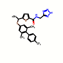 CCCCC(Sc1cc(C)c(-c2ccc(C(F)(F)F)cc2)c(C)c1)c1ccc(C(=O)NCc2nn[nH]n2)s1